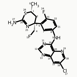 C[C@@H]1C[C@@](CF)(c2cc(Nc3ncnc4cc(Cl)cnc34)ccc2F)N=C(N)S1